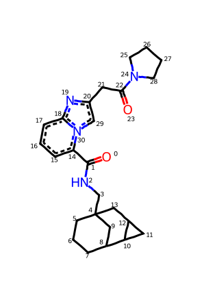 O=C(NCC12CCCC(C1)C1CC1C2)c1cccc2nc(CC(=O)N3CCCC3)cn12